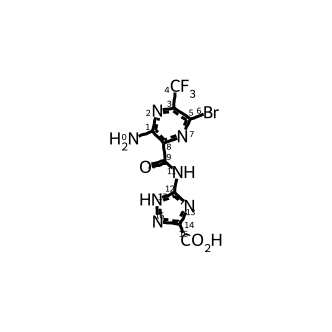 Nc1nc(C(F)(F)F)c(Br)nc1C(=O)Nc1nc(C(=O)O)n[nH]1